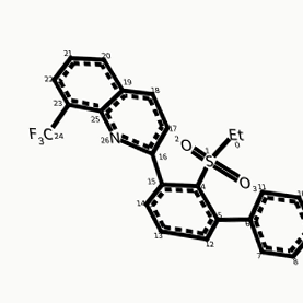 CCS(=O)(=O)c1c(-c2ccccc2)cccc1-c1ccc2cccc(C(F)(F)F)c2n1